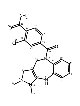 CN1CC2=C(Nc3ccccc3N(C(=O)c3ccc(C(N)=O)c(Cl)c3)C2)N1C